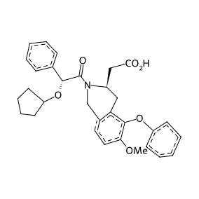 COc1ccc2c(c1Oc1ccccc1)C[C@H](CC(=O)O)N(C(=O)[C@H](OC1CCCC1)c1ccccc1)C2